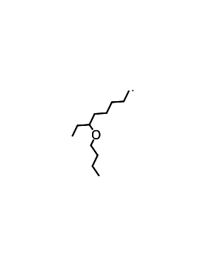 [CH2]CCCCC(CC)OCCCC